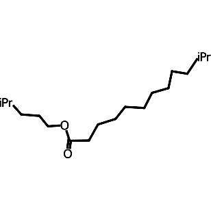 CC(C)CCCCCCCCCC(=O)OCCCC(C)C